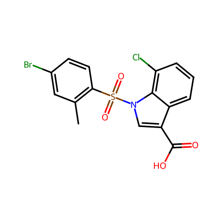 Cc1cc(Br)ccc1S(=O)(=O)n1cc(C(=O)O)c2cccc(Cl)c21